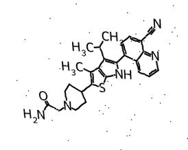 Cc1c(C2CCN(CC(N)=O)CC2)sc2[nH]c(-c3ccc(C#N)c4ncccc34)c(C(C)C)c12